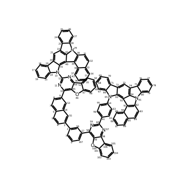 c1cc(-c2ccc3ccc(-c4nc(-n5c6ccccc6c6cc7c8ccccc8n8c9ccc%10ccccc%10c9c(c65)c78)nc5c4oc4ccccc45)cc3c2)cc(-c2nc(-c3ccc(-n4c5ccccc5c5cc6c7ccccc7n7c8ccc9ccccc9c8c(c54)c67)cc3)nc3c2oc2ccccc23)c1